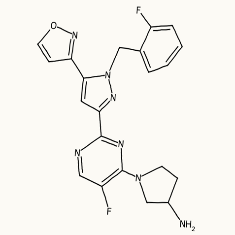 NC1CCN(c2nc(-c3cc(-c4ccon4)n(Cc4ccccc4F)n3)ncc2F)C1